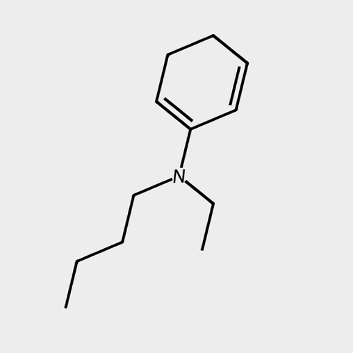 CCCCN(CC)C1=CCCC=C1